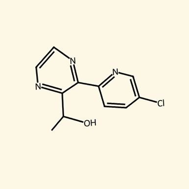 CC(O)c1nccnc1-c1ccc(Cl)cn1